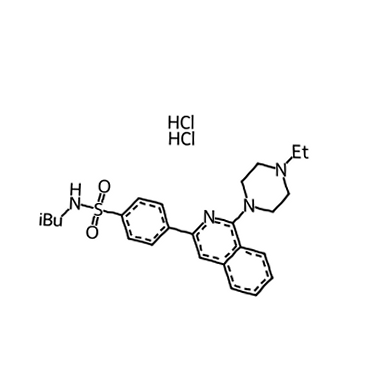 CCC(C)NS(=O)(=O)c1ccc(-c2cc3ccccc3c(N3CCN(CC)CC3)n2)cc1.Cl.Cl